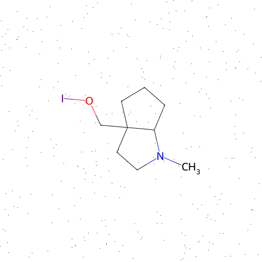 CN1CCC2(COI)CCCC12